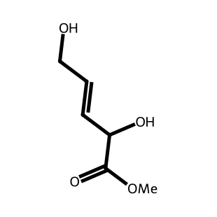 COC(=O)C(O)C=CCO